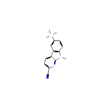 Cn1c2cc[c]([Sn]([CH3])([CH3])[CH3])cc2c2ccc(C#N)nc21